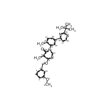 COc1cccc(COc2ncn(-c3cc(-c4ccnc(C(C)(C)C)n4)ccc3C)c(=O)c2C)c1